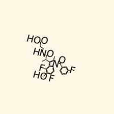 Cc1c(C(C)C(=O)NCCC(=O)O)c2c(F)c(O)c(F)cc2n1C(=O)c1cccc(F)c1